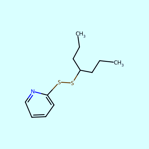 CCCC(CCC)SSc1ccccn1